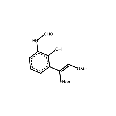 CCCCCCCCCC(=COC)c1cccc(NC=O)c1O